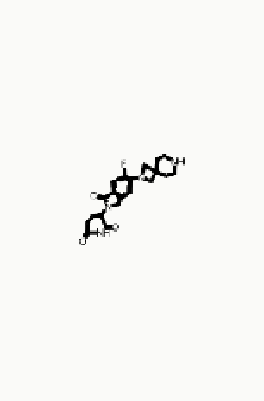 O=C1CCC(N2Cc3cc(N4CC5(CCNCC5)C4)c(F)cc3C2=O)C(=O)N1